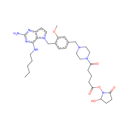 CCCCCNc1nc(N)nc2ccn(Cc3ccc(CN4CCN(C(=O)CCCC(=O)ON5C(=O)CCC5O)CC4)cc3OC)c12